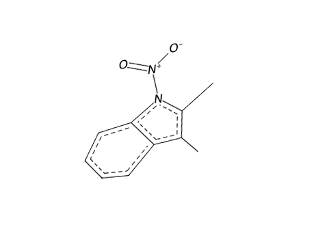 Cc1c(C)n([N+](=O)[O-])c2ccccc12